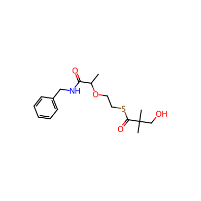 CC(OCCSC(=O)C(C)(C)CO)C(=O)NCc1ccccc1